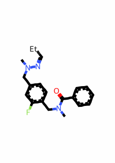 CC/C=N\N(C)Cc1ccc(CN(C)C(=O)c2ccccc2)c(F)c1